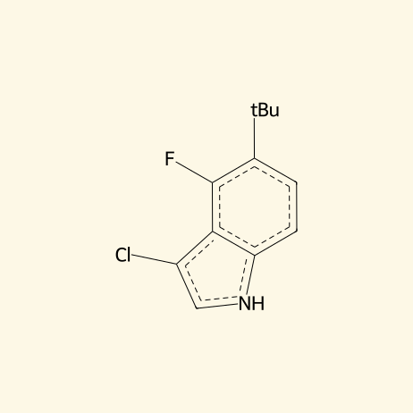 CC(C)(C)c1ccc2[nH]cc(Cl)c2c1F